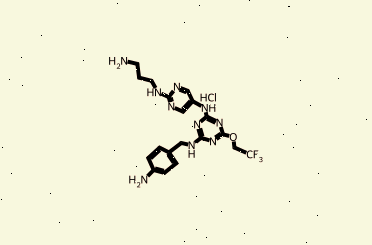 Cl.NCCCNc1ncc(Nc2nc(NCc3ccc(N)cc3)nc(OCC(F)(F)F)n2)cn1